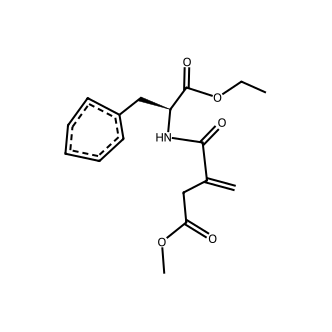 C=C(CC(=O)OC)C(=O)N[C@@H](Cc1ccccc1)C(=O)OCC